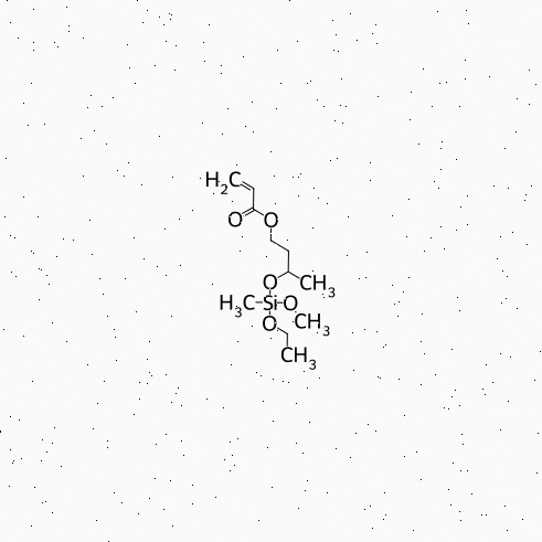 C=CC(=O)OCCC(C)O[Si](C)(OC)OCC